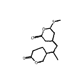 CSC1CC(CC(C)C2CCC(=O)OC2)CC(=O)O1